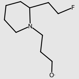 [O]CCCN1CCCCC1CCF